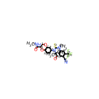 CNC(=O)C1COc2cc(N(C(=S)N(C)c3ccc(C#N)c(C(F)(F)F)c3)C(C)(C)C=O)ccc2O1